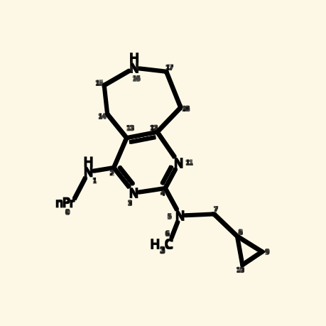 CCCNc1nc(N(C)CC2CC2)nc2c1CCNCC2